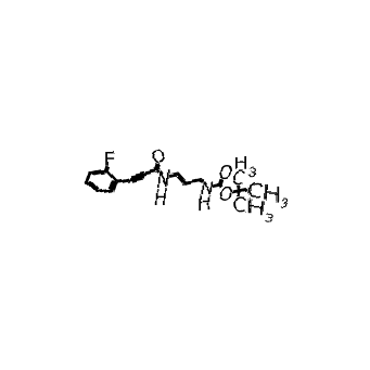 CC(C)(C)OC(=O)NCCCNC(=O)C#Cc1ccccc1F